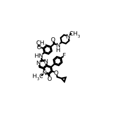 COc1cc(C(=O)NC2CCN(C)CC2)ccc1Nc1ncc2c(n1)c(-c1ccc(F)cc1)c(OCC1CC1)c(=O)n2C